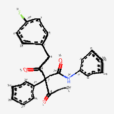 CC(C)C(=O)C(C(=O)Cc1ccc(F)cc1)(C(=O)Nc1ccccc1)c1ccccc1